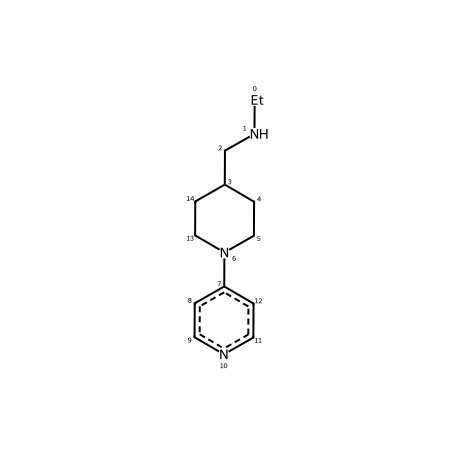 CCNCC1CCN(c2ccncc2)CC1